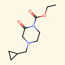 CCOC(=O)N1CCN(CC2CC2)CC1=O